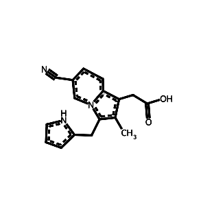 Cc1c(CC(=O)O)c2ccc(C#N)cn2c1Cc1ccc[nH]1